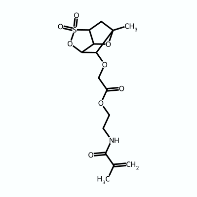 C=C(C)C(=O)NCCOC(=O)COC1C2OS(=O)(=O)C3CC1(C)OC23